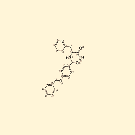 O=C(NC(Cc1ccccc1)C(=O)O)c1ccc(OCc2ccccc2)cc1